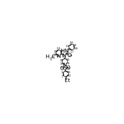 CCc1ccc(S(=O)(=O)N2CCC(N(C(=O)Nc3ccccc3)c3cccc(C)n3)CC2)cc1